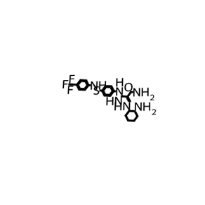 N=C(Nc1ccc(SNc2ccc(C(F)(F)F)cc2)cc1)/C(=C\N[C@H]1CCCCC1N)C(N)=O